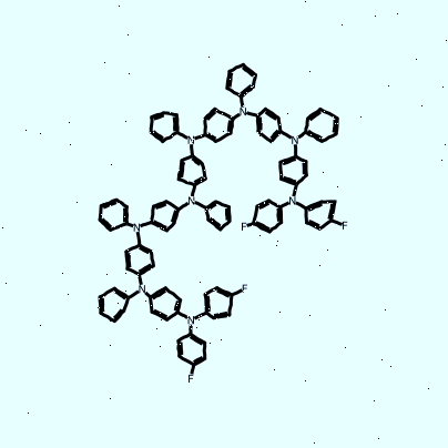 Fc1ccc(N(c2ccc(F)cc2)c2ccc(N(c3ccccc3)c3ccc(N(c4ccccc4)c4ccc(N(c5ccccc5)c5ccc(N(c6ccccc6)c6ccc(N(c7ccccc7)c7ccc(N(c8ccccc8)c8ccc(N(c9ccc(F)cc9)c9ccc(F)cc9)cc8)cc7)cc6)cc5)cc4)cc3)cc2)cc1